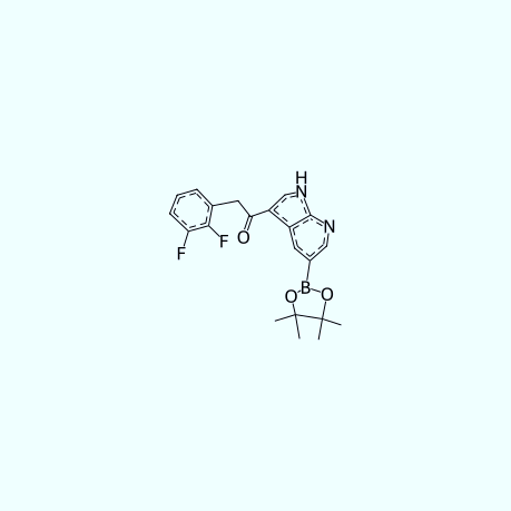 CC1(C)OB(c2cnc3[nH]cc(C(=O)Cc4cccc(F)c4F)c3c2)OC1(C)C